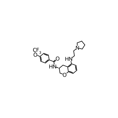 O=C(N[C@@H]1COc2cccc(NCCN3CCCC3)c2C1)c1ccc(OC(F)(F)F)cc1